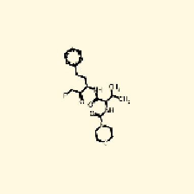 CC(C)C(NC(=O)N1CCOCC1)C(=O)NC(CCc1ccccc1)C(=O)CF